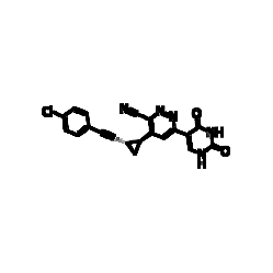 N#Cc1nnc(-c2c[nH]c(=O)[nH]c2=O)cc1[C@H]1C[C@@H]1C#Cc1ccc(Cl)cc1